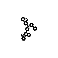 c1ccc(-c2cccc(N(c3ccc(-c4cc5oc6ccccc6c5c5ccccc45)cc3)c3ccc4c(c3)oc3ccccc34)c2)cc1